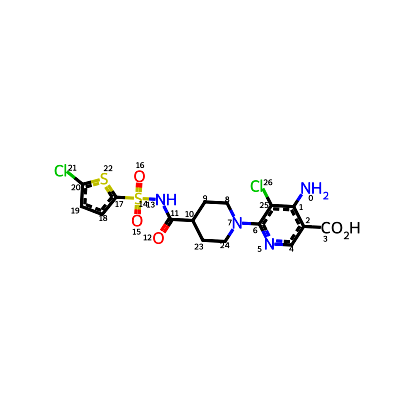 Nc1c(C(=O)O)cnc(N2CCC(C(=O)NS(=O)(=O)c3ccc(Cl)s3)CC2)c1Cl